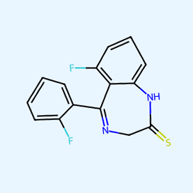 Fc1ccccc1C1=NCC(=S)Nc2cccc(F)c21